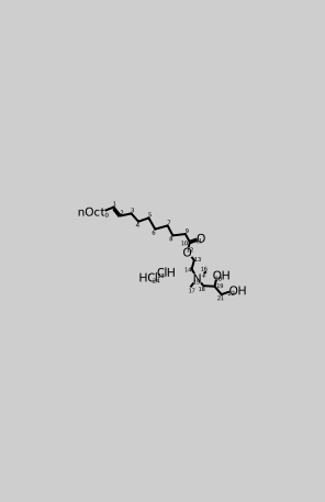 CCCCCCCCC=CCCCCCCCC(=O)OCC[N+](C)(C)CC(O)CO.Cl.Cl